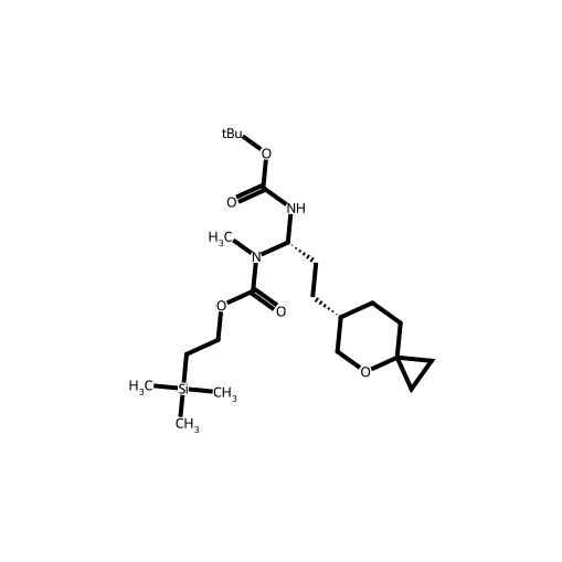 CN(C(=O)OCC[Si](C)(C)C)[C@@H](CC[C@@H]1CCC2(CC2)OC1)NC(=O)OC(C)(C)C